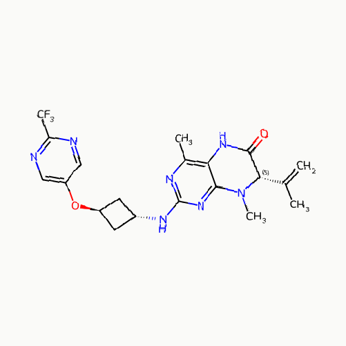 C=C(C)[C@H]1C(=O)Nc2c(C)nc(N[C@H]3C[C@H](Oc4cnc(C(F)(F)F)nc4)C3)nc2N1C